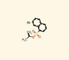 C=C(C)OS(=O)(=O)c1cccc2ccccc12.[Rb]